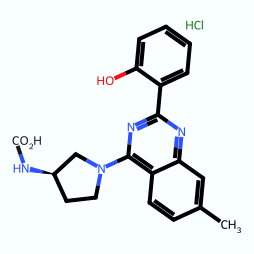 Cc1ccc2c(N3CC[C@@H](NC(=O)O)C3)nc(-c3ccccc3O)nc2c1.Cl